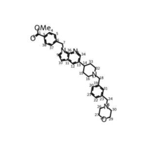 COC(=O)c1ccc(Cn2ccc3cc(C4CCN(Cc5cccc(CN6CCOCC6)c5)CC4)cnc32)cc1